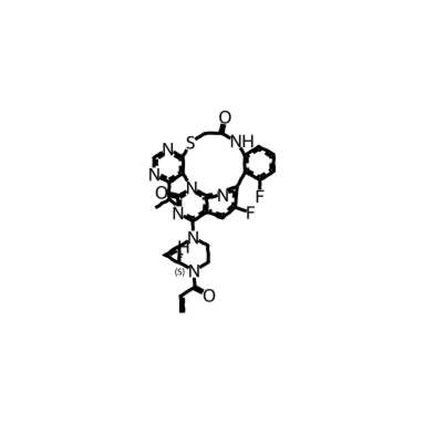 C=CC(=O)N1CCN(c2nc(=O)n3c4nc(c(F)cc24)-c2c(F)cccc2NC(=O)CSc2ncnc(C(C)C)c2-3)C2=C[C@@H]21